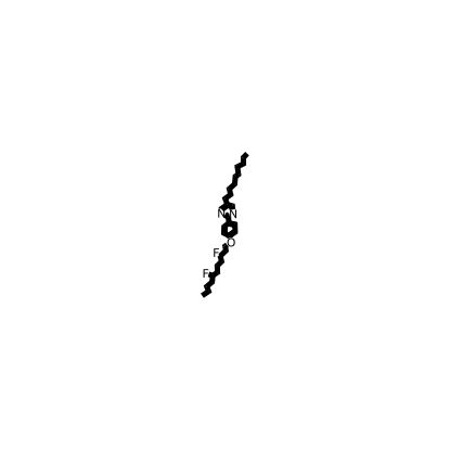 CCCCCCCCCCc1cnc(-c2ccc(OCCC(F)CCCC(F)CCCC)cc2)nc1